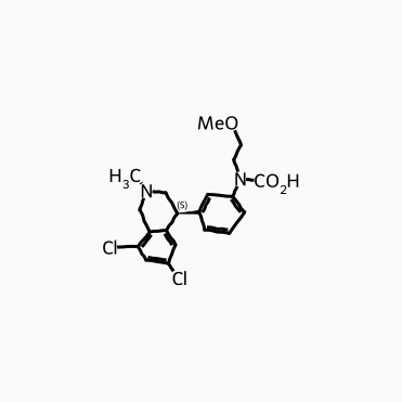 COCCN(C(=O)O)c1cccc([C@@H]2CN(C)Cc3c(Cl)cc(Cl)cc32)c1